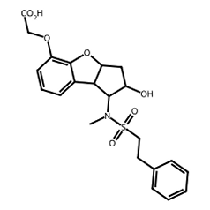 CN(C1C(O)CC2Oc3c(OCC(=O)O)cccc3C21)S(=O)(=O)CCc1ccccc1